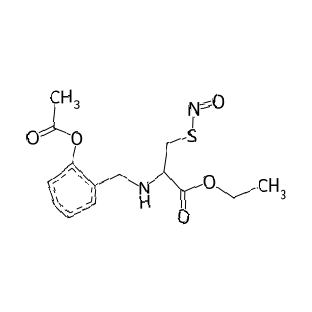 CCOC(=O)C(CSN=O)NCc1ccccc1OC(C)=O